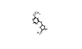 COc1cc(CC2CNC(C)C2)ncn1